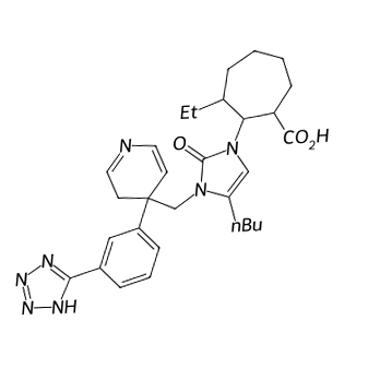 CCCCc1cn(C2C(CC)CCCCC2C(=O)O)c(=O)n1CC1(c2cccc(-c3nnn[nH]3)c2)C=CN=CC1